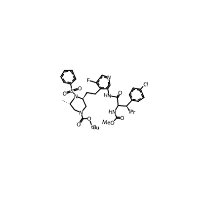 COC(=O)NC(C(=O)Nc1cncc(F)c1CC[C@H]1CN(C(=O)OC(C)(C)C)C[C@H](C)N1S(=O)(=O)c1ccccc1)[C@@H](c1ccc(Cl)cc1)C(C)C